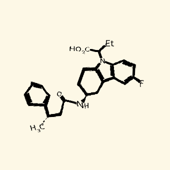 CCC(C(=O)O)n1c2c(c3cc(F)ccc31)C[C@@H](NC(=O)C[C@H](C)c1ccccc1)CC2